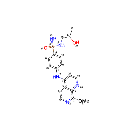 COc1nccc2c(Nc3ccc(S(=N)(=O)NCC(C)O)cc3)ccnc12